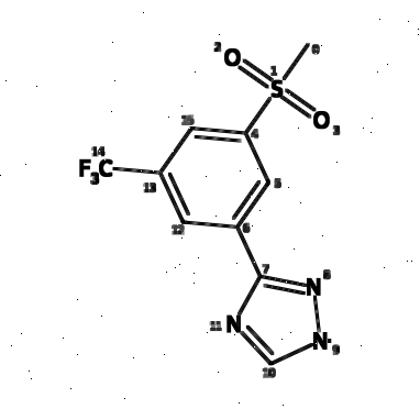 CS(=O)(=O)c1cc(C2=N[N]C=N2)cc(C(F)(F)F)c1